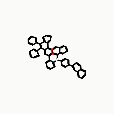 c1ccc(-c2c(-c3ccccc3)c3cc(-c4ccccc4N(c4ccc(-c5ccc6ccccc6c5)cc4)c4cccc5ccccc45)ccc3c3ccccc23)cc1